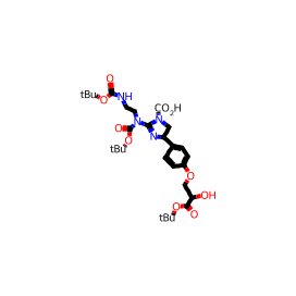 CC(C)(C)OC(=O)NCCN(C(=O)OC(C)(C)C)C1=NC(c2ccc(OCC(O)C(=O)OC(C)(C)C)cc2)CN1C(=O)O